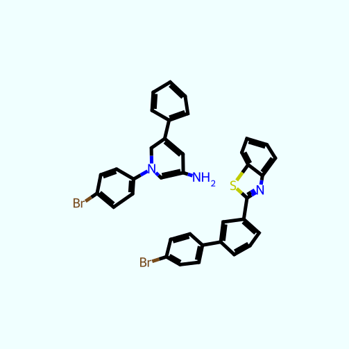 Brc1ccc(-c2cccc(-c3nc4ccccc4s3)c2)cc1.NC1=CN(c2ccc(Br)cc2)CC(c2ccccc2)=C1